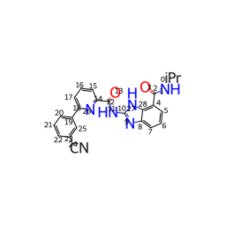 CC(C)NC(=O)c1cccc2nc(NC(=O)c3cccc(-c4cccc(C#N)c4)n3)[nH]c12